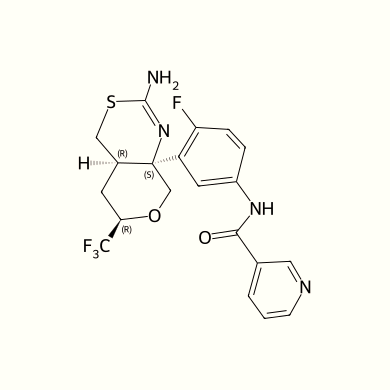 NC1=N[C@@]2(c3cc(NC(=O)c4cccnc4)ccc3F)CO[C@@H](C(F)(F)F)C[C@H]2CS1